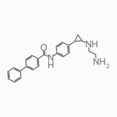 NCCNC1CC1c1ccc(NC(=O)c2ccc(-c3ccccc3)cc2)cc1